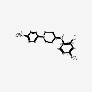 O=Cc1ccc(N2CCC(Oc3ccc([N+](=O)[O-])cc3Cl)CC2)cc1